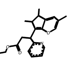 CCOC(=O)CC(C1=C2OC=C(C)C=C2C(C)C1C)c1ccccn1